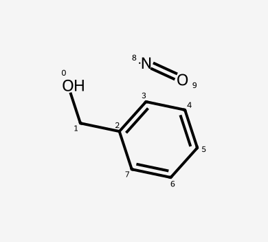 OCc1ccccc1.[N]=O